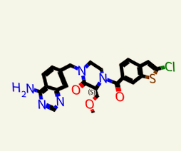 COC[C@H]1C(=O)N(Cc2ccc3c(N)ncnc3c2)CCN1C(=O)c1ccc2cc(Cl)sc2c1